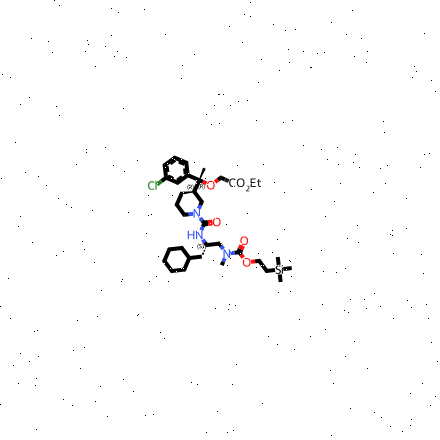 CCOC(=O)CO[C@@](C)(c1cccc(Cl)c1)[C@@H]1CCCN(C(=O)N[C@@H](CC2CCCCC2)CN(C)C(=O)OCC[Si](C)(C)C)C1